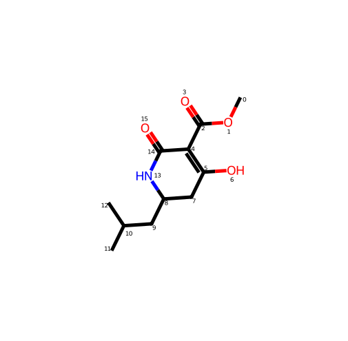 COC(=O)C1=C(O)CC(CC(C)C)NC1=O